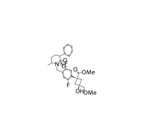 COC[C@]1(O)C[C@@](C(=O)OC)(c2cc(F)c(CN3C(C)CCC(c4ccccc4)S3(=O)=O)cc2F)C1